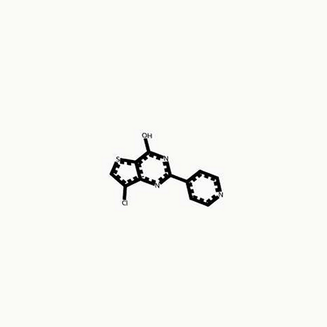 Oc1nc(-c2ccncc2)nc2c(Cl)csc12